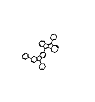 C1#CC2C(C3=CCCCC3)=C3C(=C(c4ccc5c(c4)c4c(n5C5CC=CCC5)C=CC(c5ccccc5)C4)C4C=CC=CC34)C2CCC1